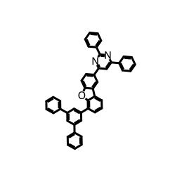 c1ccc(-c2cc(-c3ccccc3)cc(-c3cccc4c3oc3ccc(-c5cc(-c6ccccc6)nc(-c6ccccc6)n5)cc34)c2)cc1